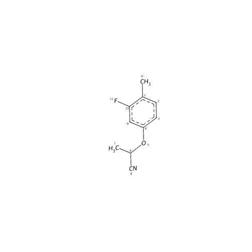 Cc1ccc(OC(C)C#N)cc1F